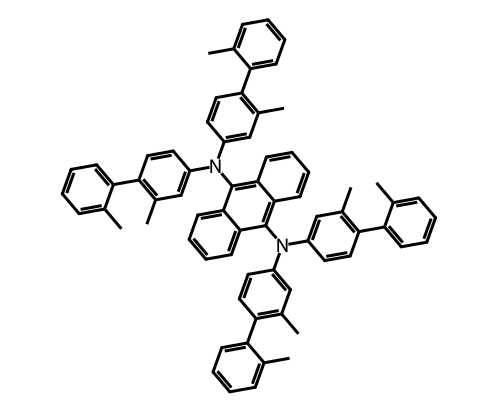 Cc1ccccc1-c1ccc(N(c2ccc(-c3ccccc3C)c(C)c2)c2c3ccccc3c(N(c3ccc(-c4ccccc4C)c(C)c3)c3ccc(-c4ccccc4C)c(C)c3)c3ccccc23)cc1C